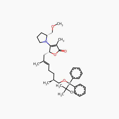 COC[C@H]1CCCN1C1=C(C)C(=O)O[C@@H]1C/C(C)=C/CC[C@H](C)CO[Si](c1ccccc1)(c1ccccc1)C(C)(C)C